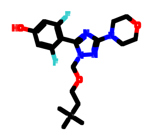 C[Si](C)(C)CCOCn1nc(N2CCOCC2)nc1-c1c(F)cc(O)cc1F